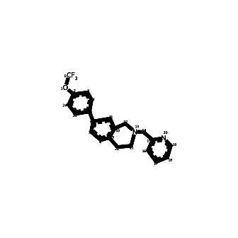 FC(F)(F)Oc1ccc(-c2ccc3c(c2)CN(Cc2ccccn2)CC3)cc1